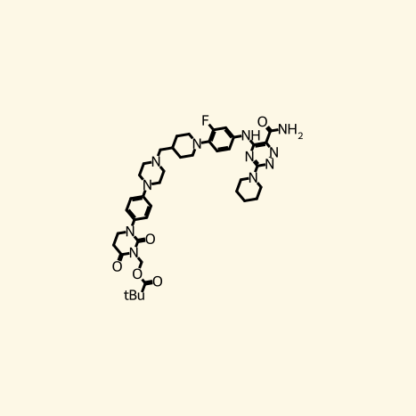 CC(C)(C)C(=O)OCN1C(=O)CCN(c2ccc(N3CCN(CC4CCN(c5ccc(Nc6nc(N7CCCCC7)nnc6C(N)=O)cc5F)CC4)CC3)cc2)C1=O